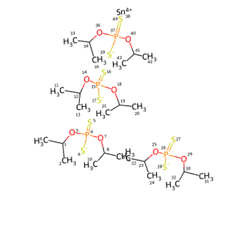 CC(C)OP(=S)([S-])OC(C)C.CC(C)OP(=S)([S-])OC(C)C.CC(C)OP(=S)([S-])OC(C)C.CC(C)OP(=S)([S-])OC(C)C.[Sn+4]